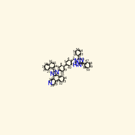 CN(Cc1ccc(-c2ccc(-n3c(-c4cccc5ccccc45)nc4c5cnccc5c5ccccc5c43)cc2)cc1)/C(=N\C(=N)c1ccccc1)c1ccccc1